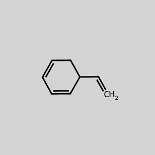 C=CC1C=CC=CC1